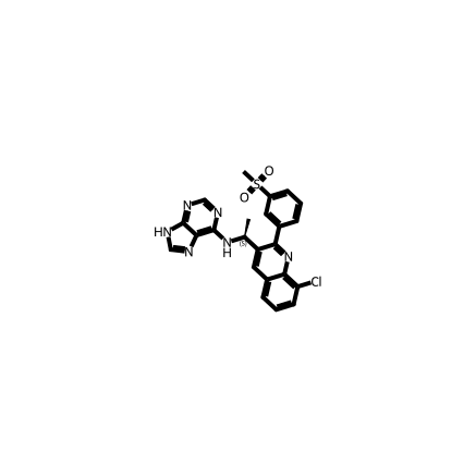 C[C@H](Nc1ncnc2[nH]cnc12)c1cc2cccc(Cl)c2nc1-c1cccc(S(C)(=O)=O)c1